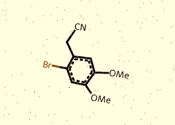 COc1cc(Br)c(CC#N)cc1OC